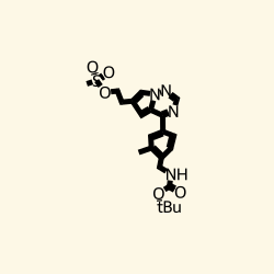 Cc1cc(-c2ncnn3cc(CCOS(C)(=O)=O)cc23)ccc1CNC(=O)OC(C)(C)C